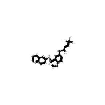 O=C(C=CC(F)(F)F)Nc1ccc2ncnc(Nc3ccc4ncccc4c3)c2c1